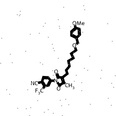 COc1ccc(COCCCCCCCC2=C(C)C(=O)N(c3ccc(C#N)c(C(F)(F)F)c3)C2=O)cc1